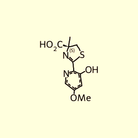 COc1cnc(C2=N[C@@](C)(C(=O)O)CS2)c(O)c1